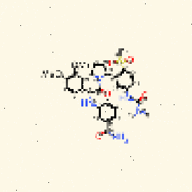 COc1ccc([C@H](Nc2cccc(C(N)=O)c2)C(=O)N2CCCC2c2cc(NC(=O)N(C)C)ccc2S(=O)(=O)C(C)C)cc1OC